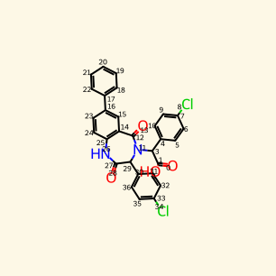 O=C(O)C(c1ccc(Cl)cc1)N1C(=O)c2cc(-c3ccccc3)ccc2NC(=O)C1c1ccc(Cl)cc1